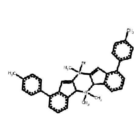 CC[Si]1(C)C2=Cc3c(-c4ccc(C)cc4)cccc3[CH]2[Hf]([CH3])([CH3])[CH]2C1=Cc1c(-c3ccc(C)cc3)cccc12